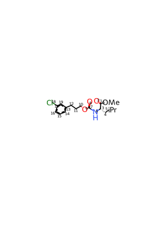 COC(=O)[C@H](CC(C)C)NC(=O)OCCCc1cccc(Cl)c1